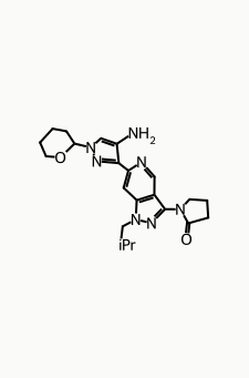 CC(C)Cn1nc(N2CCCC2=O)c2cnc(-c3nn(C4CCCCO4)cc3N)cc21